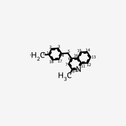 [CH2]c1ccc(Cc2cc(C)nc3ccccc23)cc1